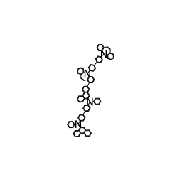 C1=Cc2ccccc2N(c2ccc(-c3ccc(N4c5ccccc5C=Cc5c(-c6ccc7c(c6)cc(N(c6ccccc6)c6ccc(-c8ccc(N(c9ccccc9)c9cc%10ccccc%10c%10ccccc9%10)cc8)cc6)c6ccccc67)cccc54)cc3)cc2)c2ccccc21